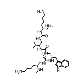 CNC[C@H](CCCCN)NC(=O)NCC(NC(=O)NC[C@H](Cc1c[nH]c2ccccc12)NC(=O)NC[C@H](CCCCN)NC)C(C)C